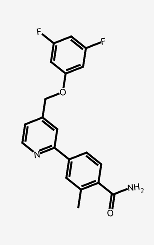 Cc1cc(-c2cc(COc3cc(F)cc(F)c3)ccn2)ccc1C(N)=O